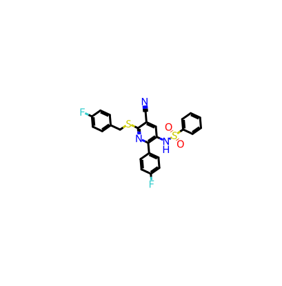 N#Cc1cc(NS(=O)(=O)c2ccccc2)c(-c2ccc(F)cc2)nc1SCc1ccc(F)cc1